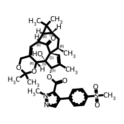 CC1=C[C@]23C(=O)[C@@H](C=C4COC(C)(C)O[C@H]4[C@]2(O)[C@H]1OC(=O)c1c(-c2ccc(S(C)(=O)=O)cc2)cnn1C)[C@H]1[C@@H](C[C@H]3C)C1(C)C